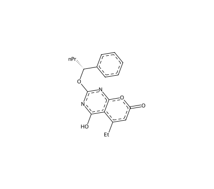 CCC[C@@H](Oc1nc(O)c2c(CC)cc(=O)oc2n1)c1ccccc1